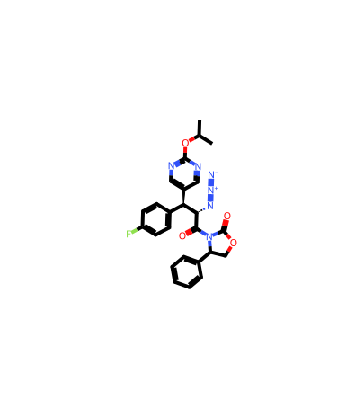 CC(C)Oc1ncc([C@H](c2ccc(F)cc2)[C@H](N=[N+]=[N-])C(=O)N2C(=O)OCC2c2ccccc2)cn1